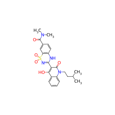 CC(C)CCn1c(=O)c(C2=NS(=O)(=O)c3cc(C(=O)N(C)C)ccc3N2)c(O)c2ccccc21